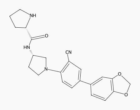 N#Cc1cc(-c2ccc3c(c2)OCO3)ccc1N1CC[C@H](NC(=O)[C@@H]2CCCN2)C1